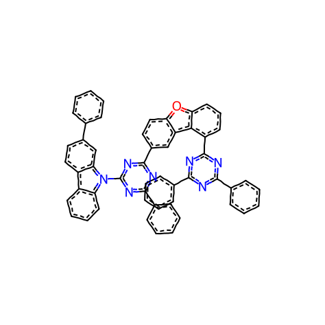 c1ccc(-c2ccc3c4ccccc4n(-c4nc(-c5ccccc5)nc(-c5ccc6oc7cccc(-c8nc(-c9ccccc9)nc(-c9ccccc9)n8)c7c6c5)n4)c3c2)cc1